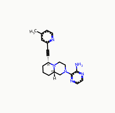 Cc1ccnc(C#C[C@H]2CCC[C@H]3CN(c4nccnc4N)CCN32)c1